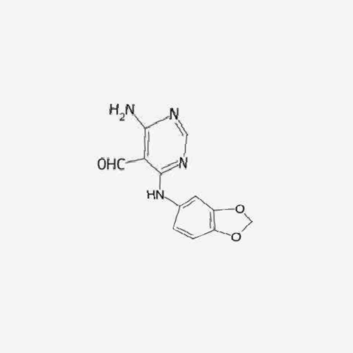 Nc1ncnc(Nc2ccc3c(c2)OCO3)c1C=O